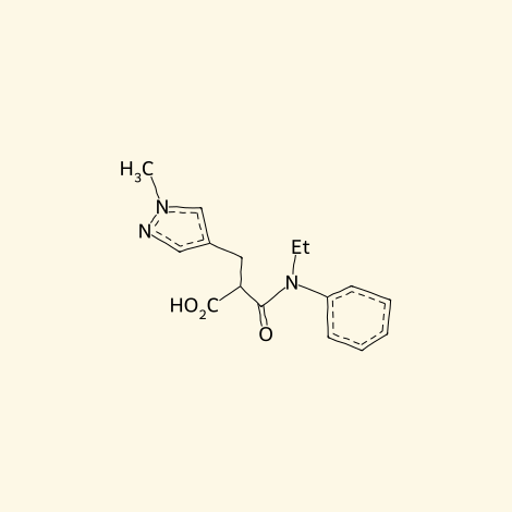 CCN(C(=O)C(Cc1cnn(C)c1)C(=O)O)c1ccccc1